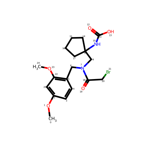 COc1ccc(CN(CC2(NC(=O)O)CCCC2)C(=O)CBr)c(OC)c1